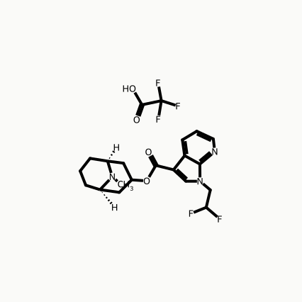 CN1[C@@H]2CCC[C@H]1CC(OC(=O)c1cn(CC(F)F)c3ncccc13)C2.O=C(O)C(F)(F)F